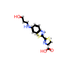 O=C(O)[C@H]1CSC(c2nc3ccc(NCCCO)cc3s2)=N1